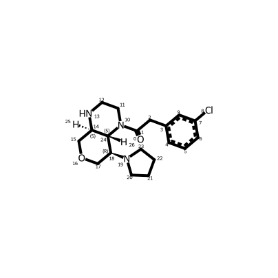 O=C(Cc1cccc(Cl)c1)N1CCN[C@@H]2COC[C@H](N3CCCC3)[C@H]21